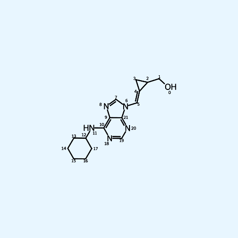 OCC1CC1=Cn1cnc2c(NC3CCCCC3)ncnc21